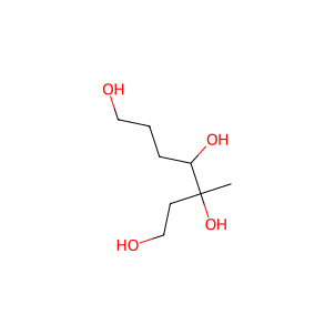 CC(O)(CCO)C(O)CCCO